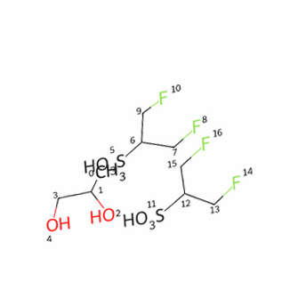 CC(O)CO.O=S(=O)(O)C(CF)CF.O=S(=O)(O)C(CF)CF